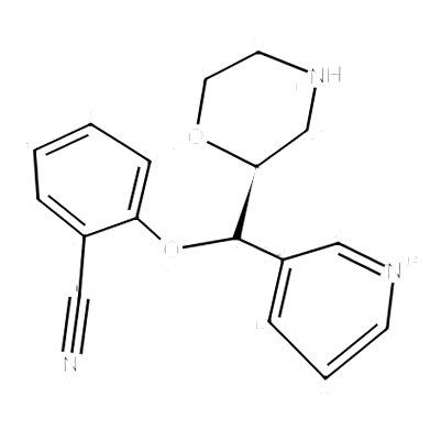 N#Cc1ccccc1OC(c1cccnc1)[C@@H]1CNCCO1